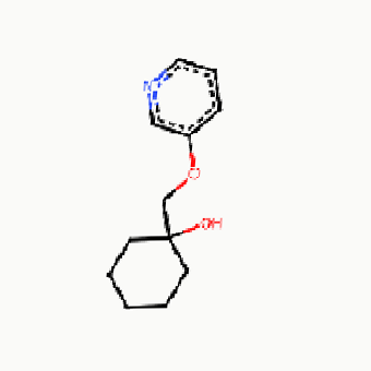 OC1(COc2cccnc2)CCCCC1